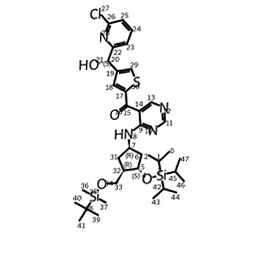 CC(C)[Si](O[C@H]1C[C@H](Nc2ncncc2C(=O)c2cc([C@H](O)c3cccc(Cl)n3)cs2)C[C@@H]1CO[Si](C)(C)C(C)(C)C)(C(C)C)C(C)C